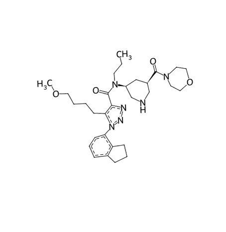 CCCN(C(=O)c1nnn(-c2cccc3c2CCC3)c1CCCCOC)[C@@H]1CNC[C@H](C(=O)N2CCOCC2)C1